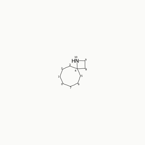 C1CCCC2(CCC1)CCN2